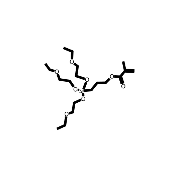 C=C(C)C(=O)OCCC[Si](OCCOCC)(OCCOCC)OCCOCC